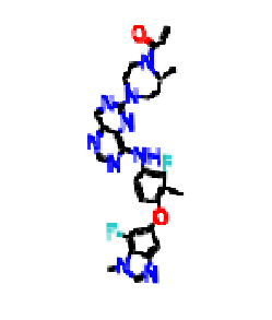 C=CC(=O)N1CCN(c2ncc3ncnc(Nc4ccc(Oc5cc(F)c6c(c5)ncn6C)c(C)c4F)c3n2)CC[C@@H]1C